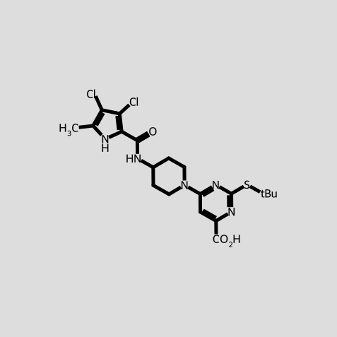 Cc1[nH]c(C(=O)NC2CCN(c3cc(C(=O)O)nc(SC(C)(C)C)n3)CC2)c(Cl)c1Cl